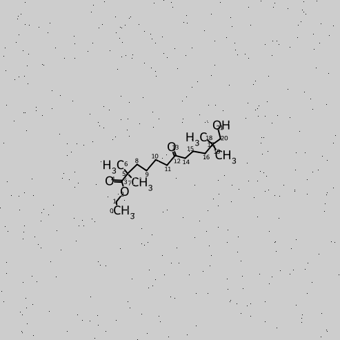 CCOC(=O)C(C)(C)CCCCC(=O)CCCC(C)(C)CO